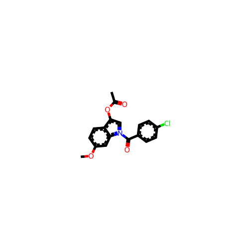 COc1ccc2c(OC(C)=O)cn(C(=O)c3ccc(Cl)cc3)c2c1